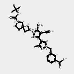 Cc1nn(Cc2cccc(C(F)F)c2)cc1-c1nn([C@H]2C[C@@]3(CCN(C(=O)OC(C)(C)C)C3)C2)c(N)c1C#N